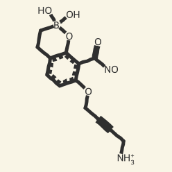 [NH3+]CC#CCOc1ccc2c(c1C(=O)N=O)O[B-](O)(O)CC2